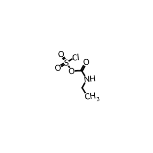 CCNC(=O)OS(=O)(=O)Cl